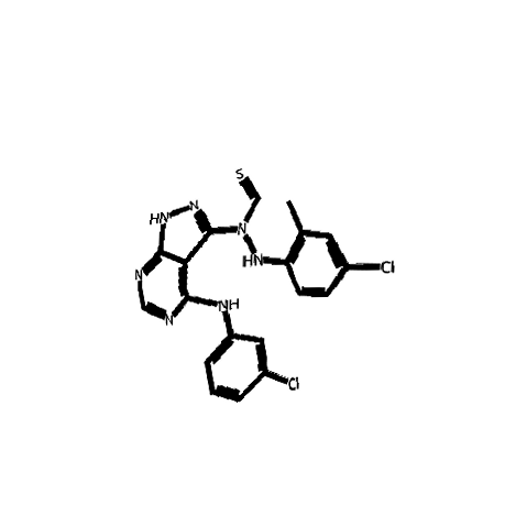 Cc1cc(Cl)ccc1NN(C=S)c1n[nH]c2ncnc(Nc3cccc(Cl)c3)c12